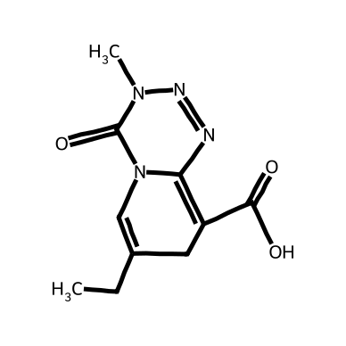 CCC1=CN2C(=O)N(C)N=NC2=C(C(=O)O)C1